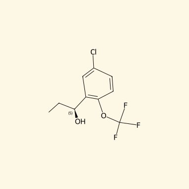 CC[C@H](O)c1cc(Cl)ccc1OC(F)(F)F